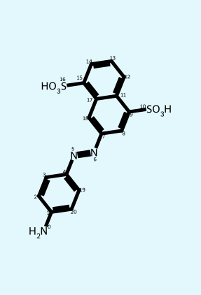 Nc1ccc(N=Nc2cc(S(=O)(=O)O)c3cccc(S(=O)(=O)O)c3c2)cc1